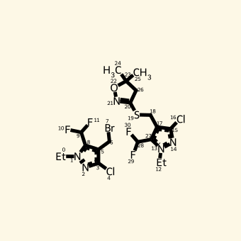 CCn1nc(Cl)c(CBr)c1C(F)F.CCn1nc(Cl)c(CSC2=NOC(C)(C)C2)c1C(F)F